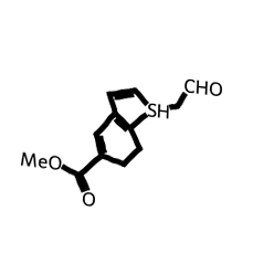 COC(=O)C1=CC2=C(CC1)[SH](CC=O)C=C2